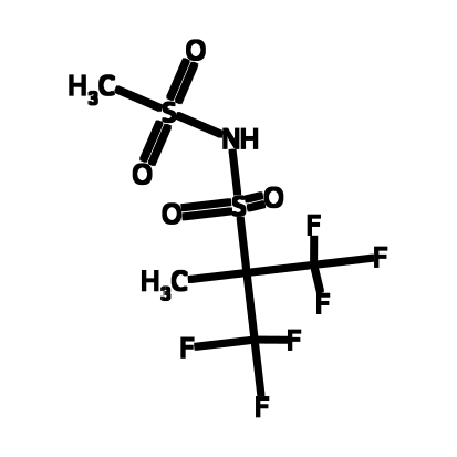 CC(C(F)(F)F)(C(F)(F)F)S(=O)(=O)NS(C)(=O)=O